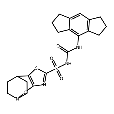 O=C(Nc1c2c(cc3c1CCC3)CCC2)NS(=O)(=O)c1nc2c(s1)C1CCN(CC1)C2